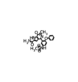 Cn1nc(-c2cc(NS(C)(=O)=O)ccc2Oc2ccccc2)c2cc(C(N)=O)[nH]c2c1=O